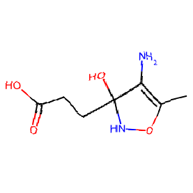 CC1=C(N)C(O)(CCC(=O)O)NO1